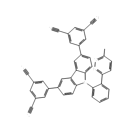 N#Cc1cc(C#N)cc(-c2ccc3c(c2)c2cc(-c4cc(C#N)cc(C#N)c4)ccc2n3-c2ccccc2-c2ccc(F)nn2)c1